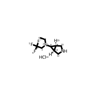 CCN(CC(F)(F)F)C1[C@H]2CNC[C@@H]12.Cl